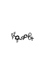 CC(C)(C)OC(=O)N1CCC2(CN(Cc3ccc(C(F)(F)F)cc3F)C2)C1